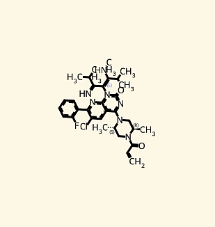 C=CC(=O)N1C[C@H](C)N(c2nc(=O)n(/C(C(=N)C(C)C)=C(/NC)C(C)C)c3nc(-c4ccccc4F)c(Cl)cc23)C[C@H]1C